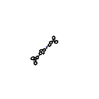 CC1(C)c2cc(/C=C/c3ccc4cc(N(c5ccccc5)c5ccccc5)ccc4c3)cc3ccc4cc(-c5ccc6c(c5)c5ccccc5n6-c5ccccc5)cc1c4c23